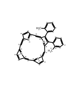 Cc1ccccc1C1=C(c2ccccc2C)C2=NC1=CC1=NC(=CC3=NC(=CC4=NC(=C2)C=C4)C=C3)C=C1